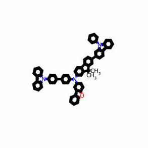 CC1(C)c2cc(-c3ccc4c5ccccc5n(-c5ccccc5)c4c3)ccc2-c2ccc(N(c3ccc(-c4ccc(-n5c6ccccc6c6ccccc65)cc4)cc3)c3ccc4oc5ccccc5c4c3)cc21